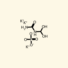 NC(=O)NC(O)O.O=P([O-])([O-])[O-].[K+].[K+].[K+]